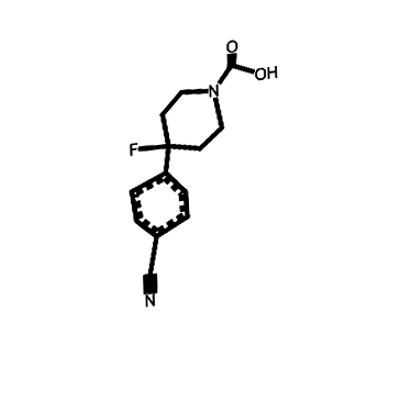 N#Cc1ccc(C2(F)CCN(C(=O)O)CC2)cc1